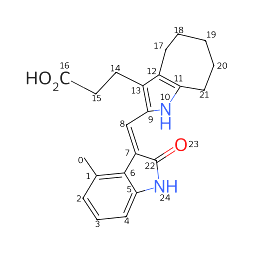 Cc1cccc2c1/C(=C/c1[nH]c3c(c1CCC(=O)O)CCCCC3)C(=O)N2